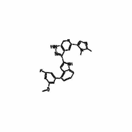 COc1cc(F)cc(-c2cccc3[nH]c(-c4n[nH]c5cnc(-c6cnc(C)n6C)cc45)cc23)c1